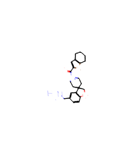 NCc1ccc2c(c1)C1(CCN(C(=O)c3cc4c(s3)CCCC4)CC1)CO2